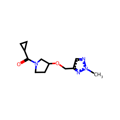 Cn1ncc(COC2CCN(C(=O)C3CC3)C2)n1